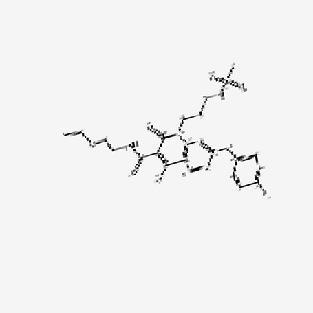 CCOCCNC(=O)c1c(O)c2ncc(Cc3ccc(F)cc3)cc2n(CCCNS(C)(=O)=O)c1=O